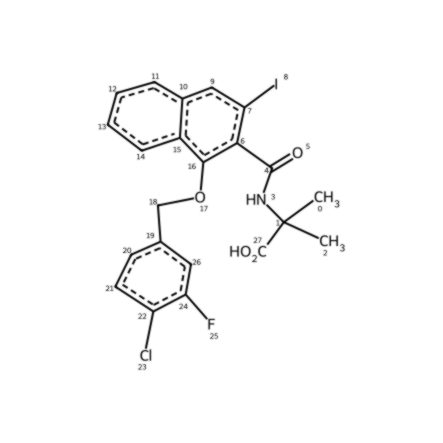 CC(C)(NC(=O)c1c(I)cc2ccccc2c1OCc1ccc(Cl)c(F)c1)C(=O)O